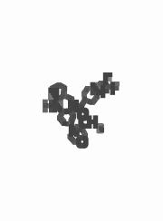 CC1COCCN1c1ccc2c(c1)N(C(=O)C1CCN(CC(F)(F)F)CC1)Cc1cccnc1N2